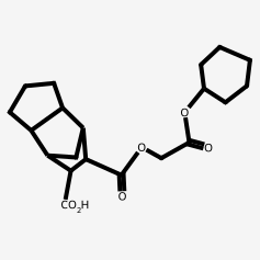 O=C(COC(=O)C1C2CC(C3CCCC32)C1C(=O)O)OC1CCCCC1